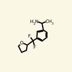 CC(N)c1cccc(C(F)(F)C2CCCO2)c1